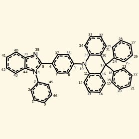 c1ccc(-n2c(-c3ccc(N4c5ccccc5C(c5ccccc5)(c5ccccc5)c5ccccc54)cc3)nc3ccccc32)cc1